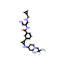 CC(C)(F)CN1CCC(NC2CC2c2cccc(C(=O)N/C(C=N)=C/NCC3CC3)c2)CC1